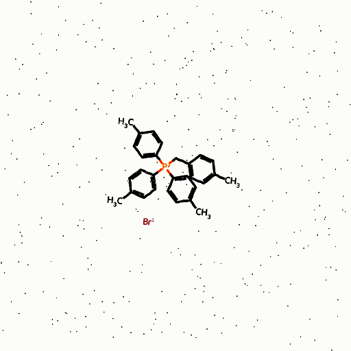 Cc1ccc(C[P+](c2ccc(C)cc2)(c2ccc(C)cc2)c2ccc(C)cc2)cc1.[Br-]